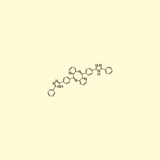 c1ccc(-c2nnc(-c3ccc(/C4=N/c5cccnc5/C(c5ccc(-c6nnc(-c7ccccc7)[nH]6)cc5)=N\c5cccnc54)cc3)[nH]2)cc1